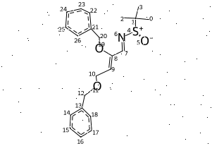 CC(C)(C)[S@@+]([O-])/N=C/C(=C/COCc1ccccc1)OCc1ccccc1